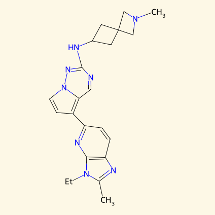 CCn1c(C)nc2ccc(-c3ccn4nc(NC5CC6(C5)CN(C)C6)ncc34)nc21